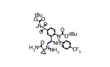 CN(C(=O)OC(C)(C)C)S(=O)(=O)c1ccc(N(Cc2ccc(C(F)(F)F)cc2)C(=O)OC(C)(C)C)c(/C(N)=C/N(N)C2(C(N)=O)CC2)c1